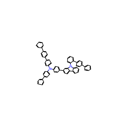 c1ccc(-c2ccc(-c3ccc(N(c4ccc(-c5ccccc5)cc4)c4ccc(-c5ccc6c7ccccc7n(-c7ccccc7-c7ccc(-c8ccccc8)cc7)c6c5)cc4)cc3)cc2)cc1